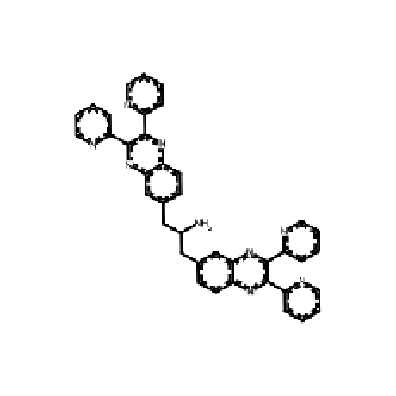 NC(Cc1ccc2nc(-c3ccccn3)c(-c3ccccn3)nc2c1)Cc1ccc2nc(-c3ccccn3)c(-c3ccccn3)nc2c1